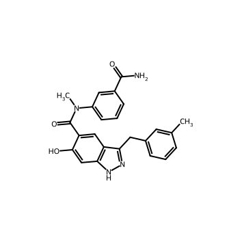 Cc1cccc(Cc2n[nH]c3cc(O)c(C(=O)N(C)c4cccc(C(N)=O)c4)cc23)c1